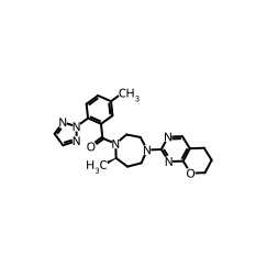 Cc1ccc(-n2nccn2)c(C(=O)N2CCN(c3ncc4c(n3)OCCC4)CC[C@H]2C)c1